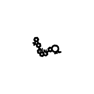 C/C=C1\CC/C=C\Cc2ccc(C3=Nc4c(ccc5ccc(-c6ccc7c(c6)C(C)(C)c6ccccc6-7)nc45)CC3)cc2CC1(C)C